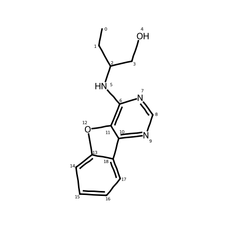 CCC(CO)Nc1ncnc2c1oc1ccccc12